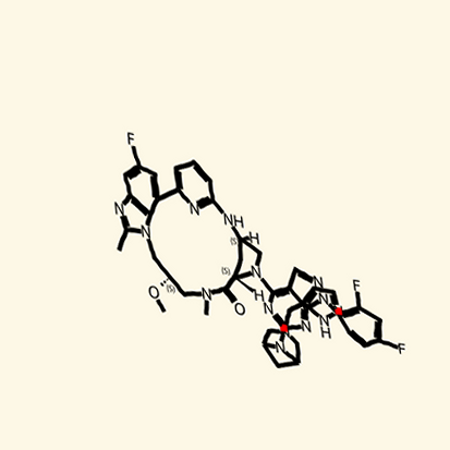 CO[C@H]1CN(C)C(=O)[C@@H]2C[C@@H](CN2c2nc(N3C4CC3CN(Cc3ccn[nH]3)C4)nc3c2cnn3-c2ccc(F)cc2F)Nc2cccc(n2)-c2cc(F)cc3nc(C)n(c23)C1